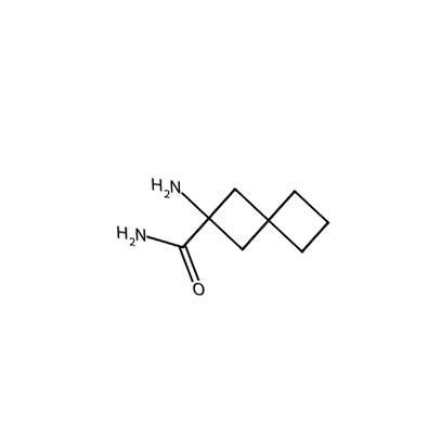 NC(=O)C1(N)CC2(CCC2)C1